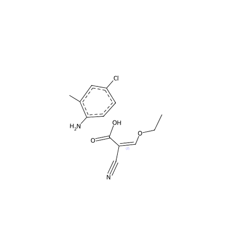 CCO/C=C(/C#N)C(=O)O.Cc1cc(Cl)ccc1N